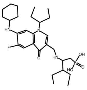 CCC(CC)C(CP(=O)(O)O)NCc1cn(C(CC)CC)c2cc(NC3CCCCC3)c(F)cc2c1=O